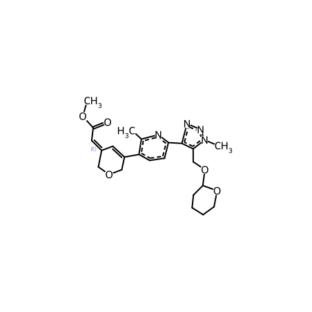 COC(=O)/C=C1\C=C(c2ccc(-c3nnn(C)c3COC3CCCCO3)nc2C)COC1